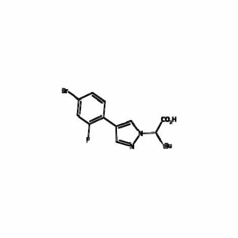 CC(C)(C)C(C(=O)O)n1cc(-c2ccc(Br)cc2F)cn1